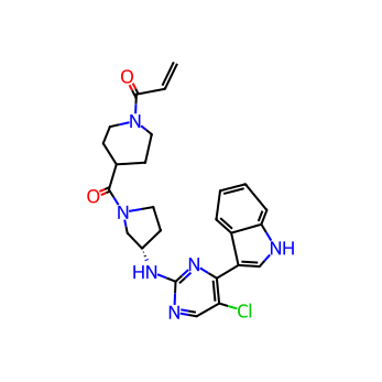 C=CC(=O)N1CCC(C(=O)N2CC[C@H](Nc3ncc(Cl)c(-c4c[nH]c5ccccc45)n3)C2)CC1